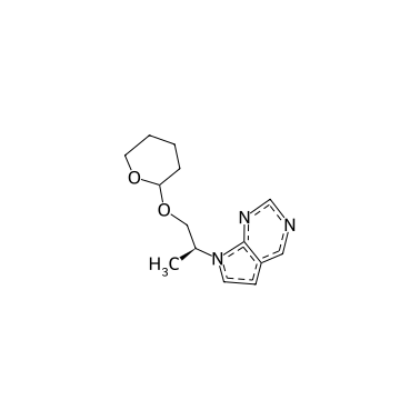 C[C@@H](COC1CCCCO1)n1ccc2cncnc21